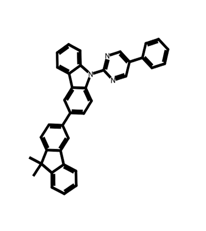 CC1(C)c2ccccc2-c2cc(-c3ccc4c(c3)c3ccccc3n4-c3ncc(-c4ccccc4)cn3)ccc21